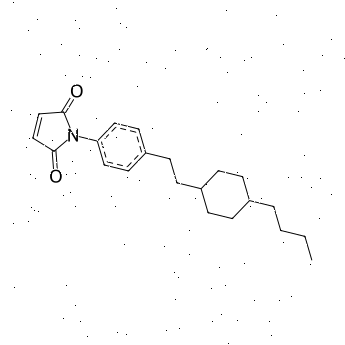 CCCCC1CCC(CCc2ccc(N3C(=O)C=CC3=O)cc2)CC1